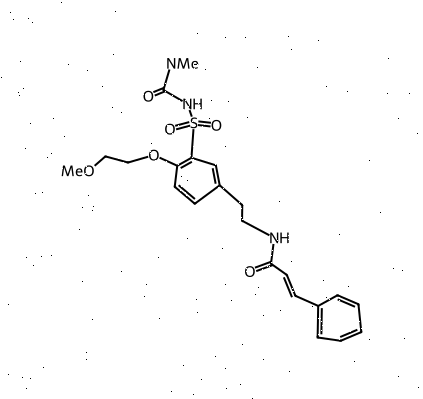 CNC(=O)NS(=O)(=O)c1cc(CCNC(=O)C=Cc2ccccc2)ccc1OCCOC